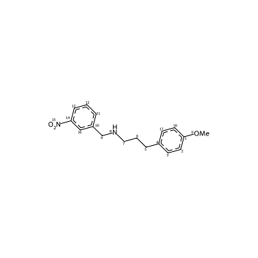 COc1ccc(CCCNCc2cccc([N+](=O)[O-])c2)cc1